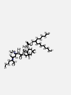 C=C(NC1CC(C)(C)CC(C)(CN(N)C(=O)N/C(C/C(C)=C(\C=O)CCCC)=N/C)C1)OCC(CCCCCC)CCCCCCCC